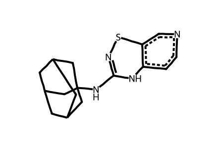 c1cc2c(cn1)SN=C(NC13CC4CC(CC(C4)C1)C3)N2